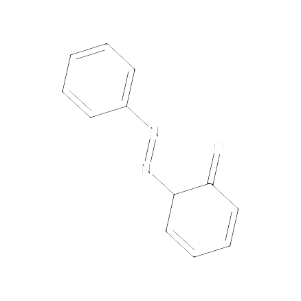 O=C1C=CC=CC1N=Nc1ccccc1